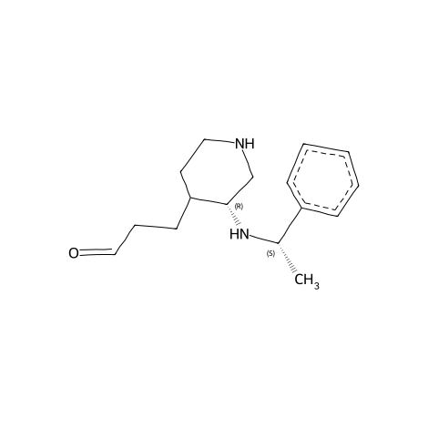 C[C@H](N[C@H]1CNCCC1CCC=O)c1ccccc1